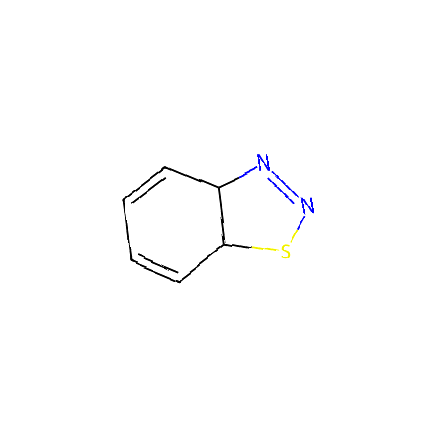 C1=CC2N=NSC2C=C1